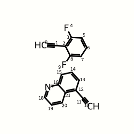 C#Cc1c(F)cccc1F.C#Cc1cccc2ncccc12